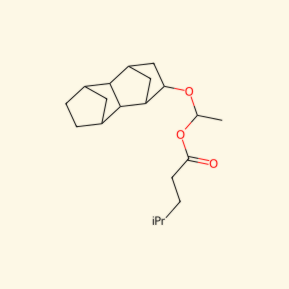 CC(C)CCC(=O)OC(C)OC1CC2CC1C1C3CCC(C3)C21